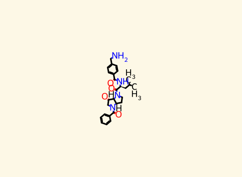 CC(C)C[C@H](NC(=O)c1ccc(CN)cc1)C(=O)N1CC[C@@H]2[C@H]1C(=O)CN2C(=O)c1ccccc1